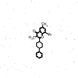 Cc1cc(C(C)C)c2oc(C3CCC(c4ccccc4)CC3)c(C)c(=O)c2c1